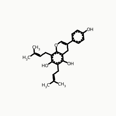 CC(C)=CCc1c(O)c(CC=C(C)C)c2c(c1O)CC(c1ccc(O)cc1)=CO2